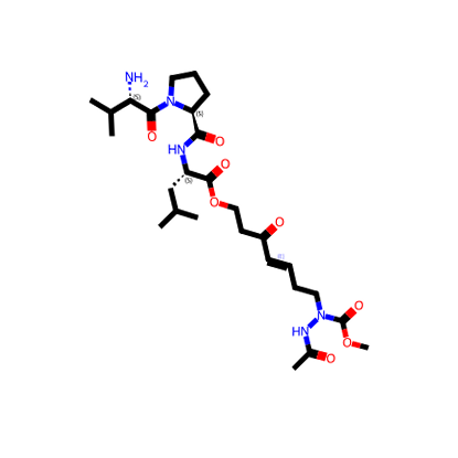 COC(=O)N(CC/C=C/C(=O)CCOC(=O)[C@H](CC(C)C)NC(=O)[C@@H]1CCCN1C(=O)[C@@H](N)C(C)C)NC(C)=O